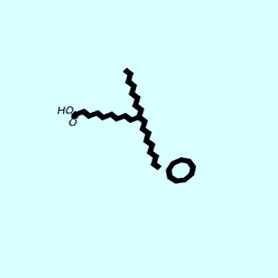 C1CCCCCCCC1.CCCCCCCCCC(CCCCCCCC)CCCCCCCCC(=O)O